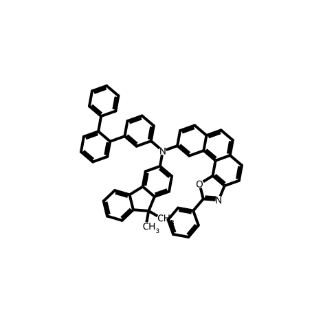 CC1(C)c2ccccc2-c2cc(N(c3cccc(-c4ccccc4-c4ccccc4)c3)c3ccc4ccc5ccc6nc(-c7ccccc7)oc6c5c4c3)ccc21